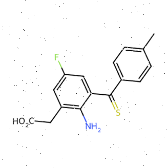 Cc1ccc(C(=S)c2cc(F)cc(CC(=O)O)c2N)cc1